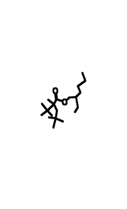 CCCCC(CC)COC(=O)C(C)(CC(C)(C)C)C(C)(C)C